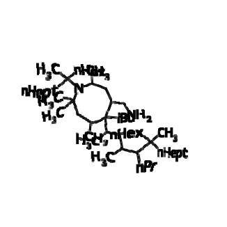 CCCCCCCC(C)(CCCCCC)C(CCC)C(C)CC(C)C1(C(C)CC)C(C)CC(C)(C)N(C(C)(CCCCCC)CCCCCCC)C(C)CC1CN